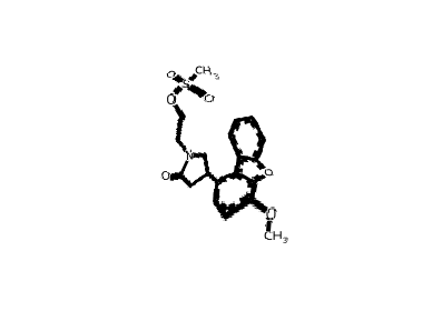 COc1ccc(C2CC(=O)N(CCOS(C)(=O)=O)C2)c2c1oc1ccccc12